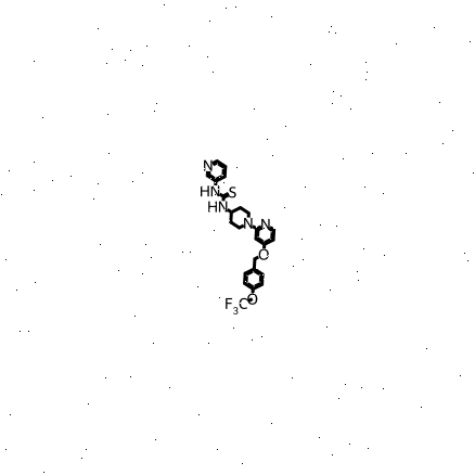 FC(F)(F)Oc1ccc(COc2ccnc(N3CCC(NC(=S)Nc4cccnc4)CC3)c2)cc1